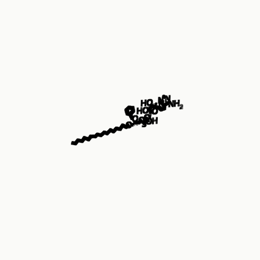 CCCCCCCCCCCCCCCCCCOC[C@H](CO[P@@](O)(=S)OC[C@H]1O[C@@](C)(c2ccc3c(N)ncnn23)[C@H](O)[C@@H]1O)OCc1ccccc1